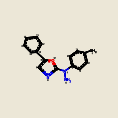 Bc1ccc(N(N)c2ncc(-c3ccccc3)o2)cc1